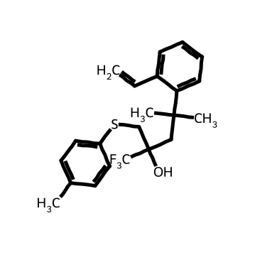 C=Cc1ccccc1C(C)(C)CC(O)(CSc1ccc(C)cc1)C(F)(F)F